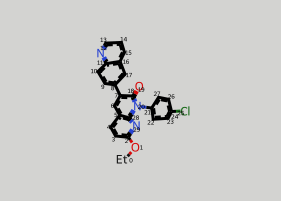 CCOc1ccc2cc(-c3ccc4ncccc4c3)c(=O)n(-c3ccc(Cl)cc3)c2n1